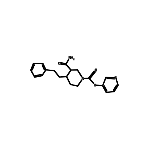 NC(=O)C1CN(C(=O)Oc2cccnc2)CCC1CCc1ccccc1